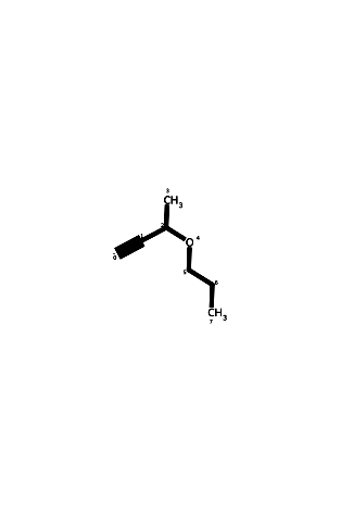 [C]#CC(C)OCCC